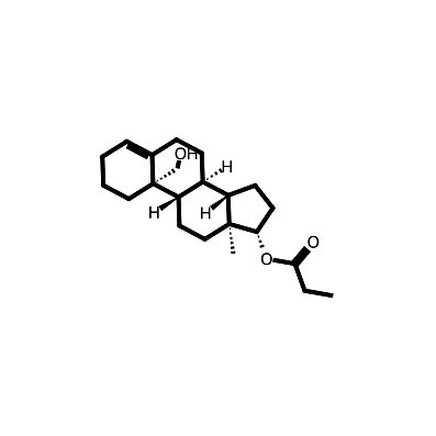 CCC(=O)O[C@H]1CC[C@H]2[C@@H]3CCC4=CCCC[C@]4(CO)[C@H]3CC[C@]12C